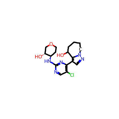 OC1CCCCn2ncc(-c3nc(N[C@@H]4CCOC[C@H]4O)ncc3Cl)c21